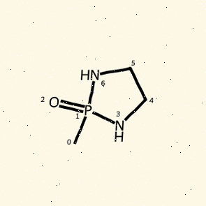 CP1(=O)NCCN1